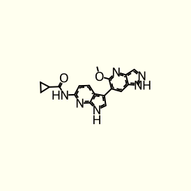 COc1nc2cn[nH]c2cc1-c1c[nH]c2nc(NC(=O)C3CC3)ccc12